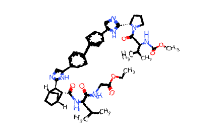 CCOC(=O)CNC(=O)C(NC(=O)[C@@H]1[C@@H]2CC[C@@H](C2)[C@H]1c1ncc(-c2ccc(-c3ccc(-c4cnc([C@@H]5CCCN5C(=O)[C@@H](NC(=O)OC)C(C)C)[nH]4)cc3)cc2)[nH]1)C(C)C